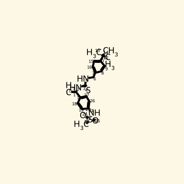 CC(NC(=S)NCc1ccc(C(C)(C)C)cc1)c1ccc(NS(C)(=O)=O)cc1